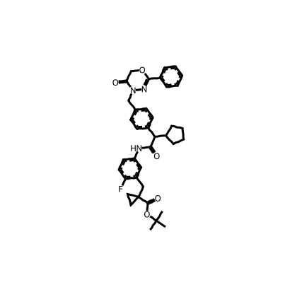 CC(C)(C)OC(=O)C1(Cc2cc(NC(=O)C(c3ccc(CN4N=C(c5ccccc5)OCC4=O)cc3)C3CCCC3)ccc2F)CC1